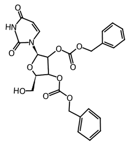 O=C(OCc1ccccc1)OC1C(OC(=O)OCc2ccccc2)[C@@H](CO)O[C@H]1n1ccc(=O)[nH]c1=O